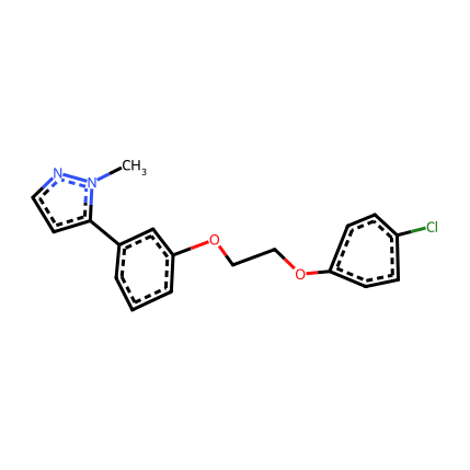 Cn1nccc1-c1cccc(OCCOc2ccc(Cl)cc2)c1